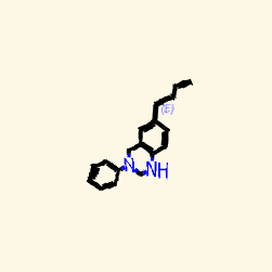 C=C/C=C/c1ccc2c(c1)CN(c1ccccc1)CN2